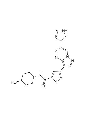 O=C(N[C@H]1CC[C@H](O)CC1)c1cc(-c2cnn3cc(C4C=NNC4)cnc23)cs1